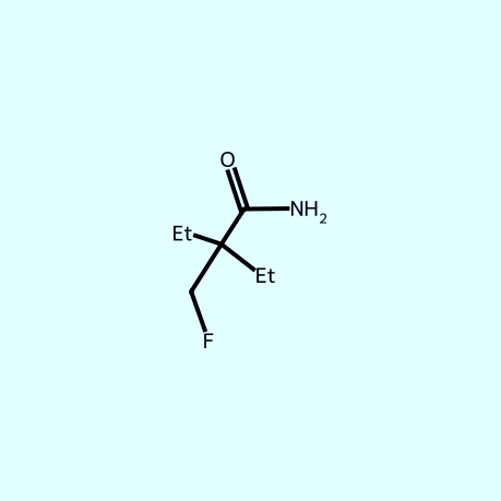 CCC(CC)(CF)C(N)=O